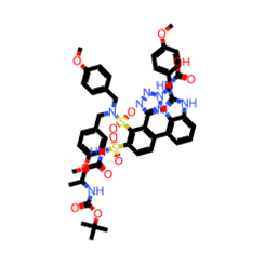 COc1ccc(CN(Cc2ccc(OC)cc2)S(=O)(=O)c2c(S(=O)(=O)NC(=O)CC(C)NC(=O)OC(C)(C)C)ccc(-c3cccc4[nH]c(NC(=O)O)nc34)c2-c2nnn(Cc3ccc(OC)cc3)n2)cc1